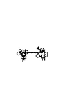 O=C(O)c1cc(OCCCCC/C=C/c2c(-c3c(Cl)cncc3Cl)noc2C2CC2)cc(C(F)(F)F)c1